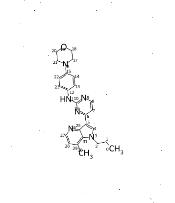 CCCn1cc(-c2ccnc(Nc3ccc(N4CCOCC4)cc3)n2)c2nccc(C)c21